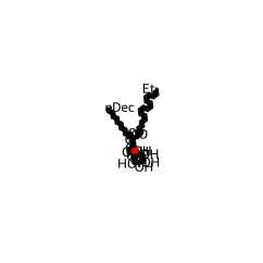 CC/C=C\C/C=C\C/C=C\C/C=C\C/C=C\CCCC(=O)OC[C@H](COP(=O)(O)OC1C(O)C(O)C(O)[C@@H](O)C1O)OC(=O)CCCCCCCCCCCCCCCCCCC